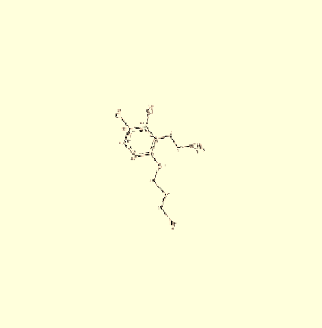 CCCc1c(OCCCBr)ccc(Cl)c1Cl